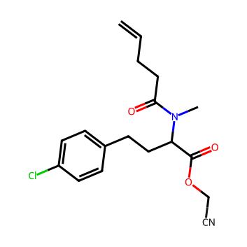 C=CCCC(=O)N(C)C(CCc1ccc(Cl)cc1)C(=O)OCC#N